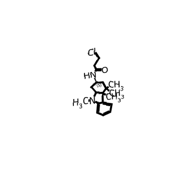 CN1c2ccccc2C2(C)C1C[C@@H](NC(=O)CCCl)CC2(C)C